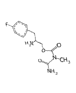 CN(C(N)=O)C(=O)OCC(N)Cc1ccc(F)cc1